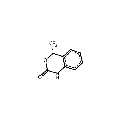 O=C1Nc2ccccc2[C@@H](C(F)(F)F)O1